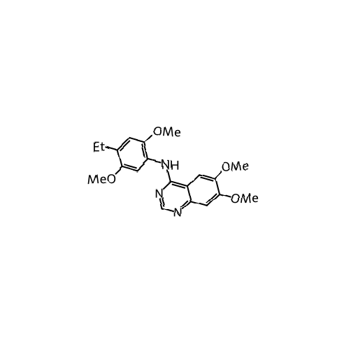 CCc1cc(OC)c(Nc2ncnc3cc(OC)c(OC)cc23)cc1OC